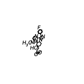 CNc1ccnc(-c2c(-c3ccc(F)cc3)ncn2C2CCC(O)(CC[N+](=O)[O-])CC2)n1